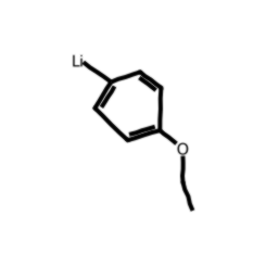 [Li][c]1ccc(OCC)cc1